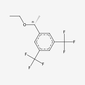 CCO[C@H](C)c1cc(C(F)(F)F)cc(C(F)(F)F)c1